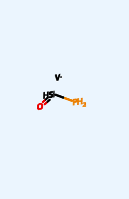 O=[SiH]P.[V]